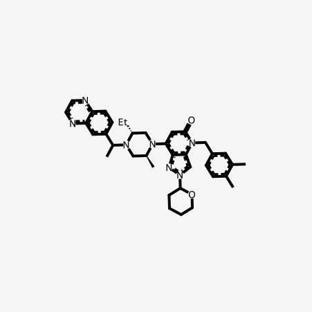 CC[C@@H]1CN(c2cc(=O)n(Cc3ccc(C)c(C)c3)c3cn(C4CCCCO4)nc23)[C@@H](C)CN1C(C)c1ccc2nccnc2c1